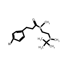 CN(CCN(C)C(C)(C)C)C(=O)CCc1ccc(Br)cc1